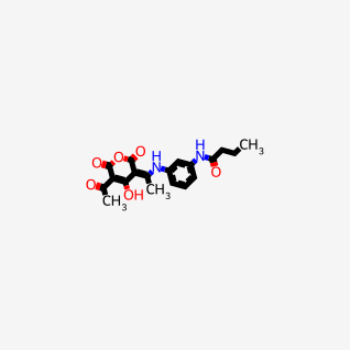 CCCC(=O)Nc1cccc(NC(C)=C2C(=O)OC(=O)C(C(C)=O)=C2O)c1